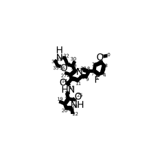 COc1ccc(F)c(-c2cc3cc(C(=O)NCc4c(C)cc(C)[nH]c4=O)c(C)c(C(C)C4CNCCO4)n3c2)c1